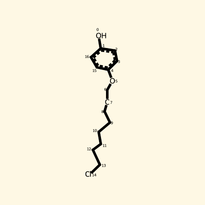 Oc1ccc(OCCCCCCCCCl)cc1